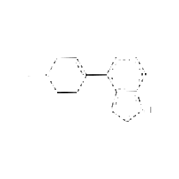 CN1CC=C(c2cccc3[nH]ccc23)CC1